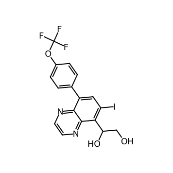 OCC(O)c1c(I)cc(-c2ccc(OC(F)(F)F)cc2)c2nccnc12